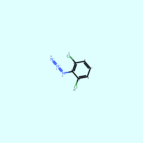 [N-]=[N+]=Nc1c(Cl)cccc1Cl